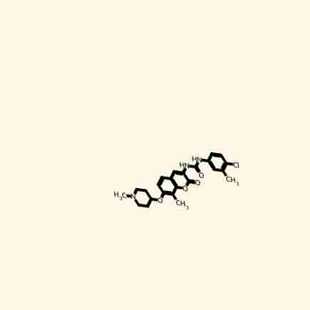 Cc1cc(NC(=O)Nc2cc3ccc(OC4CCN(C)CC4)c(C)c3oc2=O)ccc1Cl